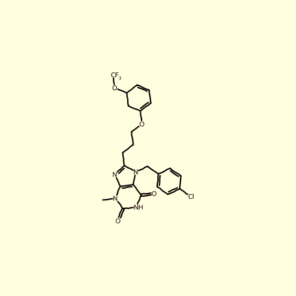 Cn1c(=O)[nH]c(=O)c2c1nc(CCCOC1=CC=CC(OC(F)(F)F)C1)n2Cc1ccc(Cl)cc1